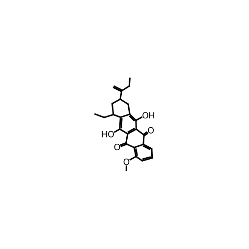 C=C(CC)C1Cc2c(O)c3c(c(O)c2C(CC)C1)C(=O)c1c(OC)cccc1C3=O